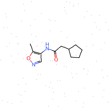 Cc1oncc1NC(=O)CC1CCCC1